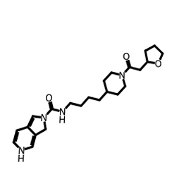 O=C(NCCCCC1CCN(C(=O)CC2CCCO2)CC1)N1C=C2C=CNC=C2C1